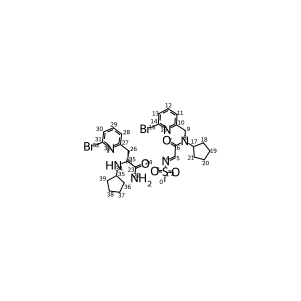 CS(=O)(=O)N=CC(=O)N(Cc1cccc(Br)n1)C1CCCC1.NC(=O)[C@H](Cc1cccc(Br)n1)NC1CCCC1